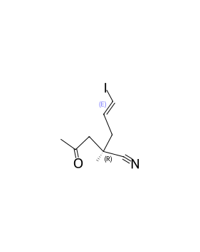 CC(=O)C[C@](C)(C#N)C/C=C/I